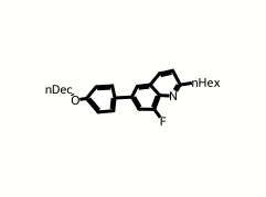 CCCCCCCCCCOc1ccc(-c2cc(F)c3nc(CCCCCC)ccc3c2)cc1